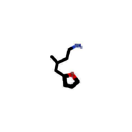 CC(CCN)Cc1ccco1